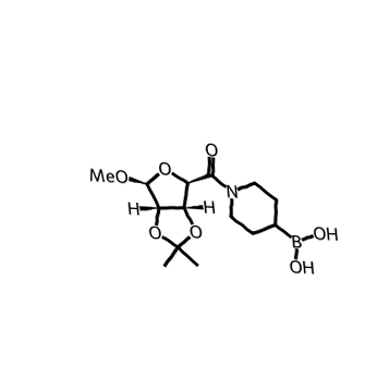 CO[C@H]1O[C@@H](C(=O)N2CCC(B(O)O)CC2)[C@@H]2OC(C)(C)O[C@H]12